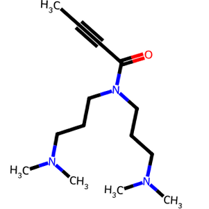 CC#CC(=O)N(CCCN(C)C)CCCN(C)C